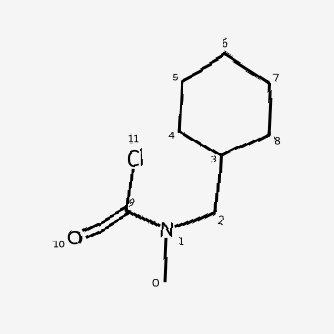 CN(CC1CCCCC1)C(=O)Cl